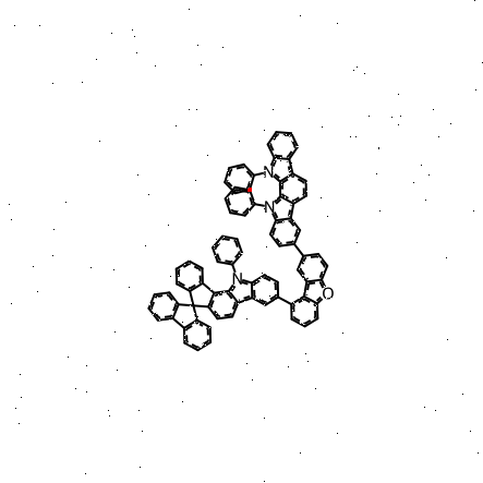 c1ccc(-n2c3ccc(-c4cccc5oc6ccc(-c7ccc8c(c7)c7ccc9c%10ccccc%10n(-c%10ccccc%10)c9c7n8-c7ccccc7)cc6c45)cc3c3ccc4c(c32)-c2ccccc2C42c3ccccc3-c3ccccc32)cc1